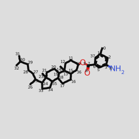 Cc1cc(N)cc(C(=O)OC2CCC3(C)C(CCC4C3CCC3(C)C(C(C)CCCC(C)C)CCC43)C2)c1